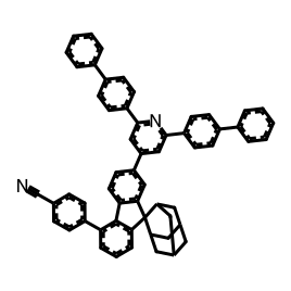 N#Cc1ccc(-c2cccc3c2-c2ccc(-c4cc(-c5ccc(-c6ccccc6)cc5)nc(-c5ccc(-c6ccccc6)cc5)c4)cc2C32C3CC4CC(C3)CC2C4)cc1